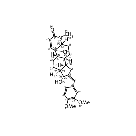 COc1ccc(C=C2C[C@H]3[C@@H]4CC[C@H]5N(C)C(=O)C=C[C@]5(C)[C@H]4CC[C@]3(C)[C@H]2O)cc1OC